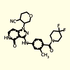 Cc1cc(Nc2nn(C3COCCC3C#N)c3cc[nH]c(=O)c23)ccc1C(=O)N1CCC(F)(F)CC1